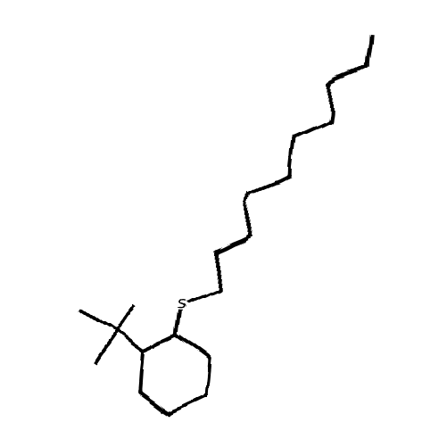 CCCCCCCCCCSC1CCCCC1C(C)(C)C